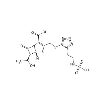 CC(O)[C@H]1C(=O)N2C(C(=O)O)=C(CSc3nnnn3CCNS(=O)(=O)O)S[C@H]12